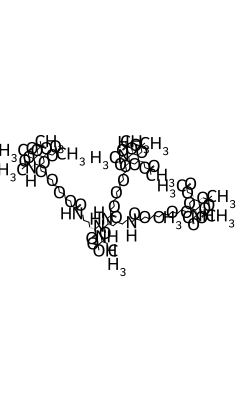 CCCC(NC(=O)[C@H](CCCCNC(=O)COCCOCCOCCO[C@@H]1O[C@H](COC(C)=O)[C@H](OC(C)=O)[C@H](OC(C)=O)[C@H]1NC(C)=O)NC(=O)[C@H](CCCCNC(=O)COCCOCCOCCO[C@@H]1O[C@H](COC(C)=O)[C@H](OC(C)=O)[C@H](OC(C)=O)[C@H]1NC(C)=O)NC(=O)COCCOCCOCCO[C@@H]1O[C@H](COC(C)=O)[C@H](OC(C)=O)[C@H](OC(C)=O)[C@H]1NC(C)=O)C(=O)O